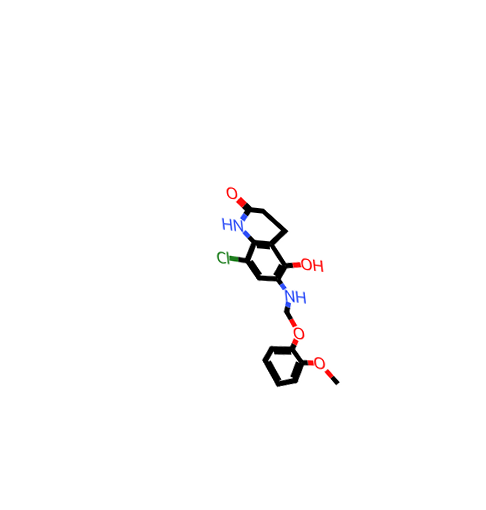 COc1ccccc1OCNc1cc(Cl)c2c(c1O)CCC(=O)N2